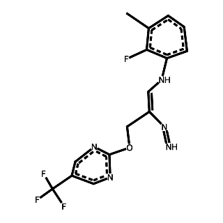 Cc1cccc(N/C=C(/COc2ncc(C(F)(F)F)cn2)N=N)c1F